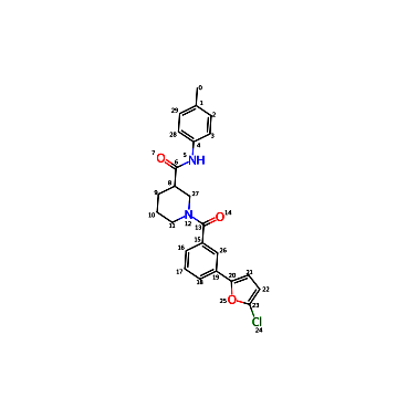 Cc1ccc(NC(=O)C2CCCN(C(=O)c3cccc(-c4ccc(Cl)o4)c3)C2)cc1